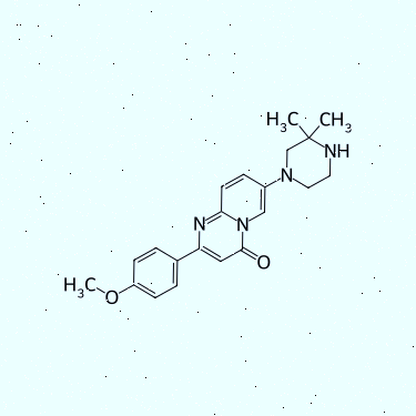 COc1ccc(-c2cc(=O)n3cc(N4CCNC(C)(C)C4)ccc3n2)cc1